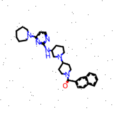 O=C(c1ccc2ccccc2c1)N1CCC(N2CCCC(Nc3nccc(N4CCCCCC4)n3)C2)CC1